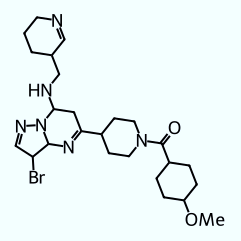 COC1CCC(C(=O)N2CCC(C3=NC4C(Br)C=NN4C(NCC4C=NCCC4)C3)CC2)CC1